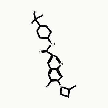 CC1CCN1c1cc2ncc(C(=O)NC3CCC(C(C)(C)O)CC3)cc2cc1F